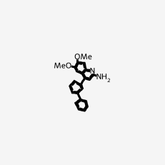 COc1cc2nc(N)cc(-c3cccc(-c4ccccc4)c3)c2cc1OC